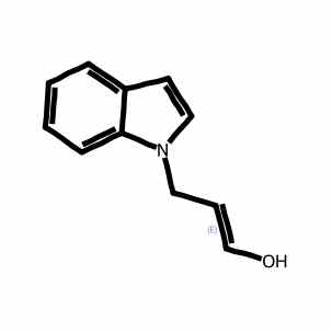 O/C=C/Cn1ccc2ccccc21